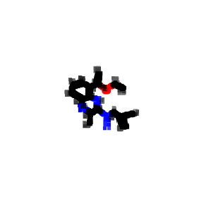 C=C(C)CNc1nc2c(C(=C)OCC)cccc2nc1C